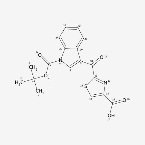 CC(C)(C)OC(=O)n1cc(C(=O)c2nc(C(=O)O)cs2)c2ccccc21